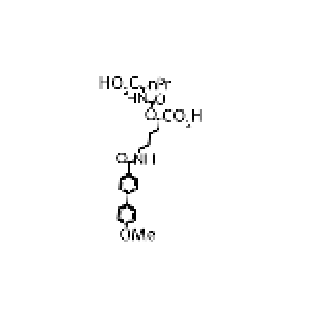 CCC[C@H](NC(=O)O[C@@H](CCCCNC(=O)c1ccc(-c2ccc(OC)cc2)cc1)C(=O)O)C(=O)O